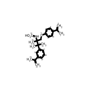 C=C(C)c1ccc(OCC(C)(NC(=O)O)C(C)(C)c2cccc(C(=C)C)c2)cc1